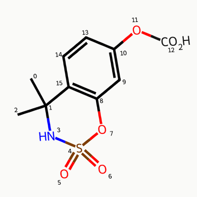 CC1(C)NS(=O)(=O)Oc2cc(OC(=O)O)ccc21